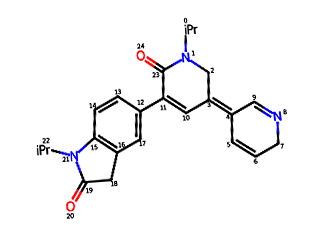 CC(C)N1CC(=C2C=CCN=C2)C=C(c2ccc3c(c2)CC(=O)N3C(C)C)C1=O